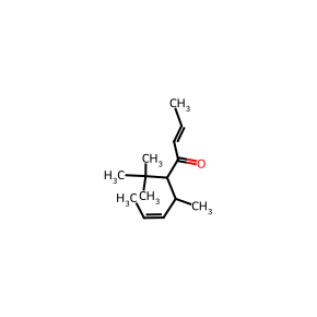 C/C=C\C(C)C(C(=O)/C=C/C)C(C)(C)C